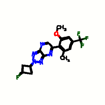 COc1cc(C(F)(F)F)cc(C)c1-c1cnc2nn(C3CC(F)C3)nc2n1